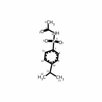 CC(=O)NS(=O)(=O)c1ccc(C(C)C)cc1